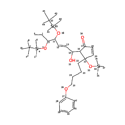 CCC(O[Si](C)(C)C(C)(C)C)C(C=CC(O)C1C(=O)C=CC1(CCCCOc1ccccc1)O[Si](C)(C)C)O[Si](C)(C)C(C)(C)C